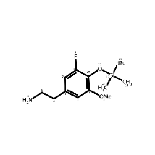 COc1cc(CCN)cc(F)c1O[Si](C)(C)C(C)(C)C